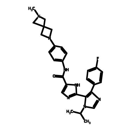 CC(C)n1cnc(-c2ccc(F)cc2)c1-c1ncc(C(=O)Nc2ccc(N3CC4(CN(C)C4)C3)cc2)[nH]1